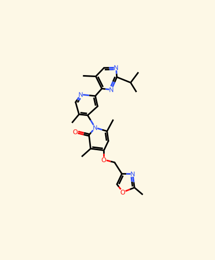 Cc1nc(COc2cc(C)n(-c3cc(-c4nc(C(C)C)ncc4C)ncc3C)c(=O)c2C)co1